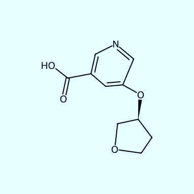 O=C(O)c1cncc(O[C@H]2CCOC2)c1